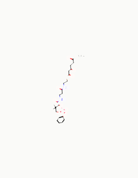 COC(=O)CCC(=O)CC(=O)SCCNC(=O)CCNC(=O)[C@@H]1OP(=O)(Oc2ccccc2)OCC1(C)C